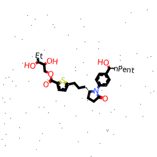 CCCCC[C@H](O)c1ccc(N2C(=O)CC[C@@H]2CCCc2ccc(C(=O)OCC(O)C(O)CC)s2)cc1